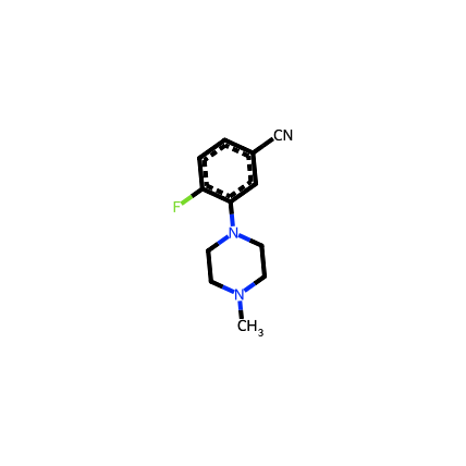 CN1CCN(c2cc(C#N)ccc2F)CC1